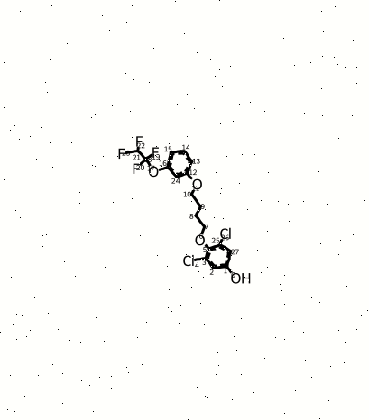 Oc1cc(Cl)c(OCCCCOc2cccc(OC(F)(F)C(F)F)c2)c(Cl)c1